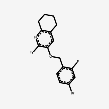 CCc1nc2c(cc1OCc1ccc(Br)cc1F)CCCC2